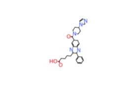 O=C(O)CCCCc1nc2c(nc1-c1ccccc1)=CCC(C(=O)N1CCC(n3ccnc3)CC1)C=2